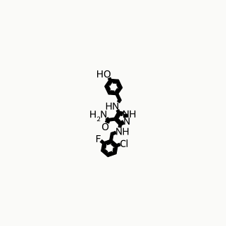 NC(=O)c1c(NCc2c(F)cccc2Cl)n[nH]c1NCc1ccc(O)cc1